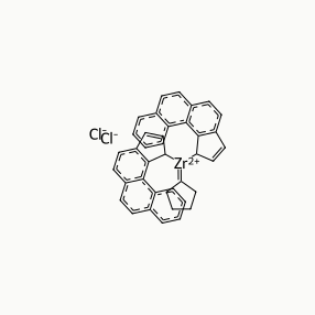 C1=C[CH]([Zr+2](=[C]2CCCC2)[CH]2C=Cc3ccc4ccc5ccccc5c4c32)c2c1ccc1ccc3ccccc3c21.[Cl-].[Cl-]